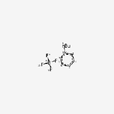 CCCC[n+]1ccccc1.F[B-](F)(F)F